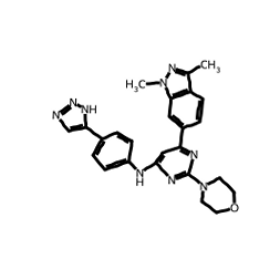 Cc1nn(C)c2cc(-c3cc(Nc4ccc(-c5cnn[nH]5)cc4)nc(N4CCOCC4)n3)ccc12